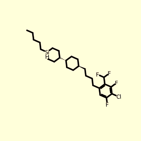 CCCCC[SiH]1CCC([C@H]2CC[C@H](CCCCc3cc(F)c(Cl)c(F)c3C(F)F)CC2)CC1